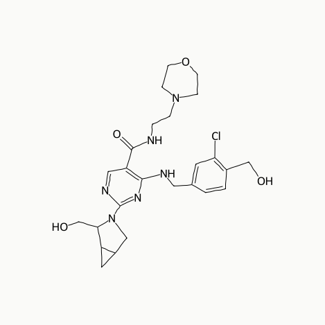 O=C(NCCN1CCOCC1)c1cnc(N2CC3CC3C2CO)nc1NCc1ccc(CO)c(Cl)c1